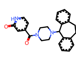 O=C(c1cc[nH]c(=O)c1)N1CCN(C2c3ccccc3CCc3ccccc32)CC1